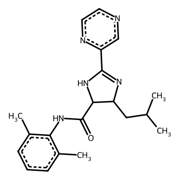 Cc1cccc(C)c1NC(=O)C1NC(c2cnccn2)=NC1CC(C)C